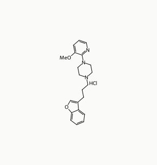 COc1cccnc1N1CCN(CCCc2coc3ccccc23)CC1.Cl